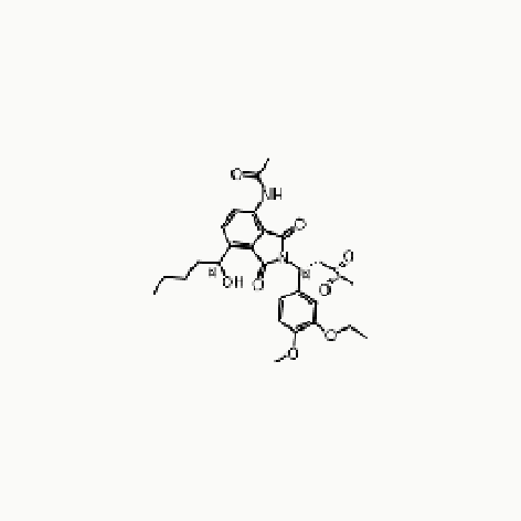 CCCC[C@H](O)c1ccc(NC(C)=O)c2c1C(=O)N([C@H](CS(C)(=O)=O)c1ccc(OC)c(OCC)c1)C2=O